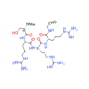 CN[C@@H](CO)C(=O)NC(CCCNC(=N)N)C(=O)N[C@@H](CCCNC(=N)N)C(=O)NC(CCCNC(=N)N)C(=O)NCC=O